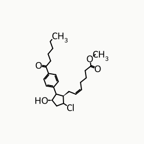 CCCCCC(=O)c1ccc(C2[C@@H](C/C=C\CCCC(=O)OC)C(Cl)C[C@H]2O)cc1